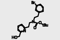 CC(C)(C)OC(=O)N(CCc1cccc(Br)c1)CCc1cccc(CO)n1